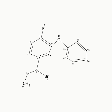 CCC(Br)c1ccc(F)c(Oc2ccccc2)c1